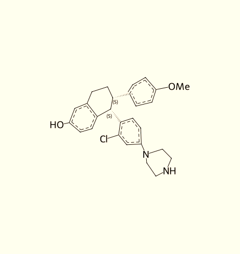 COc1ccc([C@H]2CCc3cc(O)ccc3[C@H]2c2ccc(N3CCNCC3)cc2Cl)cc1